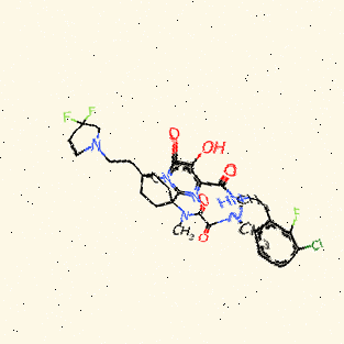 CN(C)C(=O)C(=O)N(C)C12CCC(CCN3CCC(F)(F)C3)(CC1)Cn1c2nc(C(=O)NCc2cccc(Cl)c2F)c(O)c1=O